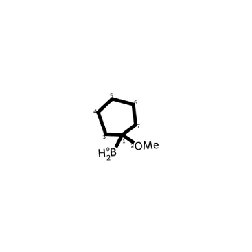 BC1(OC)CCCCC1